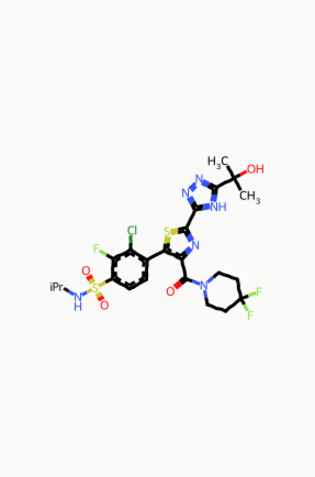 CC(C)NS(=O)(=O)c1ccc(-c2sc(-c3nnc(C(C)(C)O)[nH]3)nc2C(=O)N2CCC(F)(F)CC2)c(Cl)c1F